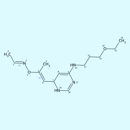 C/C=N/O/C(C)=C/C1C=C(NCCCOCC)N=CN1